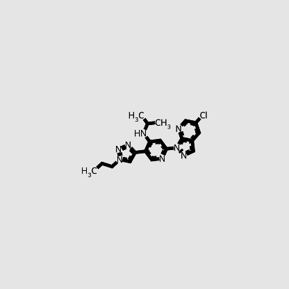 CCCn1cc(-c2cnc(-n3ncc4cc(Cl)cnc43)cc2NC(C)C)nn1